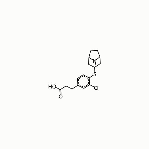 CN1C2CCC1CC(Sc1ccc(CCC(=O)O)cc1Cl)C2